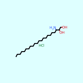 CCCCCCCCCCCCCCCCCCCC(N)C(O)CO.Cl